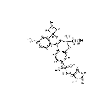 CC1(C)CC(c2ccc(C(F)(F)F)cc2C2(F)CNC2)c2ccc(S(=O)(=O)Nc3ncns3)cc2O1.Cl